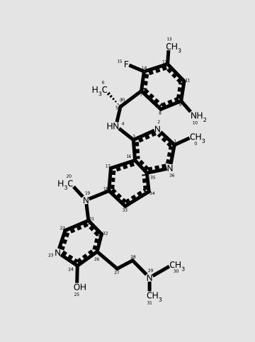 Cc1nc(N[C@H](C)c2cc(N)cc(C)c2F)c2cc(N(C)c3cnc(O)c(CCN(C)C)c3)ccc2n1